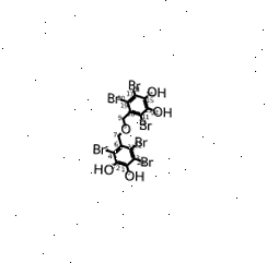 Oc1c(O)c(Br)c(COCc2c(Br)c(O)c(O)c(Br)c2Br)c(Br)c1Br